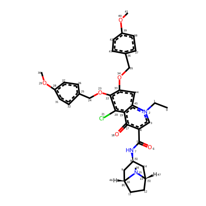 CCn1cc(C(=O)N[C@@H]2C[C@H]3CC[C@@H](C2)N3C)c(=O)c2c(Cl)c(OCc3ccc(OC)cc3)c(OCc3ccc(OC)cc3)cc21